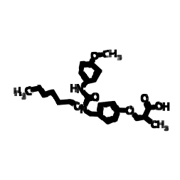 CCCCCCCN(Cc1ccc(OCC(C)C(=O)O)cc1)C(=O)Nc1ccc(OC)cc1